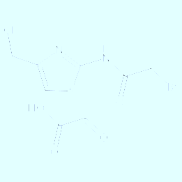 CCc1csc(NC(=O)CBr)n1.O=CC(=O)O